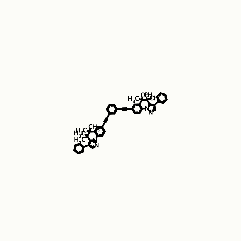 CC1(C)c2cc(C#Cc3cccc(C#Cc4ccc5c(c4)C(C)(C)C(C)(C)c4c(-c6ccccc6)cnn4-5)c3)ccc2-n2ncc(-c3ccccc3)c2C1(C)C